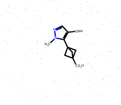 COc1cnn(C)c1C12CC(C(=O)O)(C1)C2